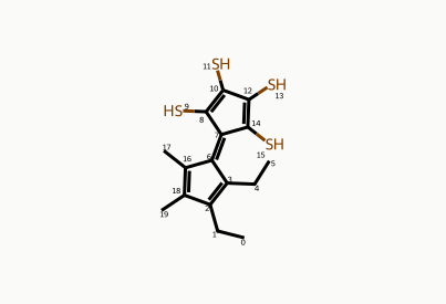 CCC1=C(CC)C(=C2C(S)=C(S)C(S)=C2S)C(C)=C1C